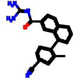 Cc1cc(C#N)ccc1-c1cccc2ccc(C(=O)N=C(N)N)cc12